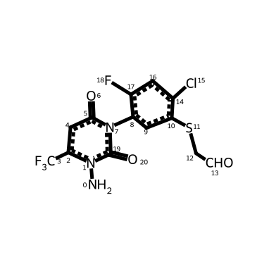 Nn1c(C(F)(F)F)cc(=O)n(-c2cc(SCC=O)c(Cl)cc2F)c1=O